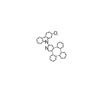 COc1ccc2c3ccccc3n(-c3cc4c(cn3)-c3ccccc3-c3ccccc3-c3ccccc3-4)c2c1